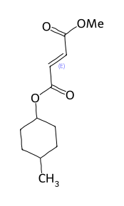 COC(=O)/C=C/C(=O)OC1CCC(C)CC1